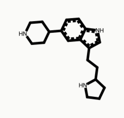 c1cc2[nH]cc(CCC3CCCN3)c2cc1C1CCNCC1